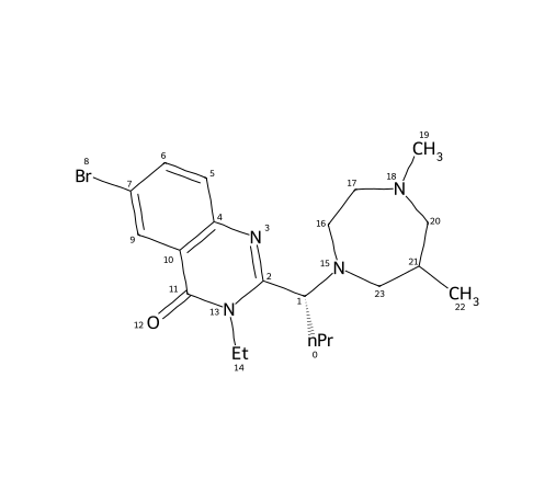 CCC[C@H](c1nc2ccc(Br)cc2c(=O)n1CC)N1CCN(C)CC(C)C1